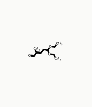 CCOC(C/C=C(\C)C=O)OCC